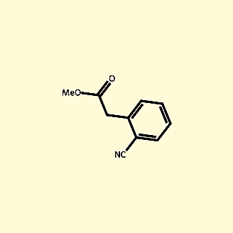 COC(=O)Cc1ccccc1C#N